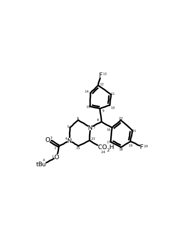 CC(C)(C)OC(=O)N1CCN(C(c2ccc(F)cc2)c2ccc(F)cc2)C(C(=O)O)C1